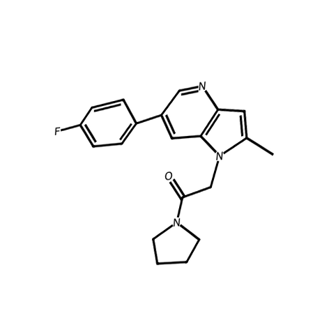 Cc1cc2ncc(-c3ccc(F)cc3)cc2n1CC(=O)N1CCCC1